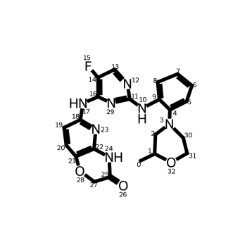 CC1CN(c2ccccc2Nc2ncc(F)c(Nc3ccc4c(n3)NC(=O)CO4)n2)CCO1